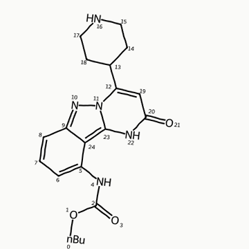 CCCCOC(=O)Nc1cccc2nn3c(C4CCNCC4)cc(=O)[nH]c3c12